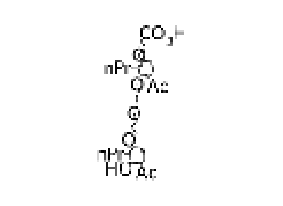 CCCc1c(OCCCOCCCOc2c(C(C)=O)ccc(OCCC(=O)O)c2CCC)ccc(C(C)=O)c1O